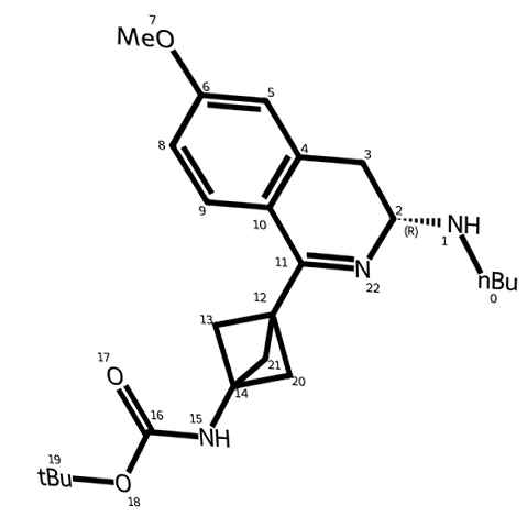 CCCCN[C@H]1Cc2cc(OC)ccc2C(C23CC(NC(=O)OC(C)(C)C)(C2)C3)=N1